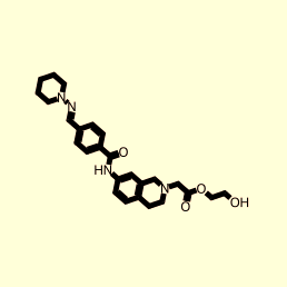 O=C(CN1CCc2ccc(NC(=O)c3ccc(/C=N/N4CCCCC4)cc3)cc2C1)OCCO